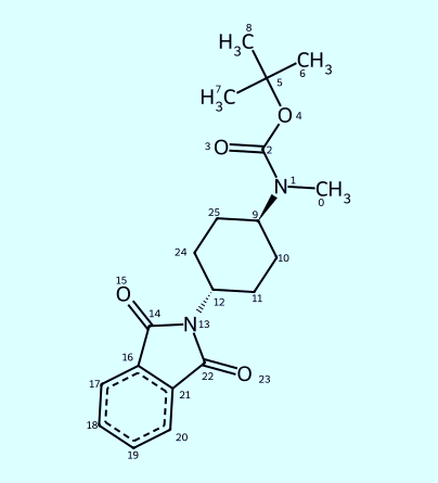 CN(C(=O)OC(C)(C)C)[C@H]1CC[C@H](N2C(=O)c3ccccc3C2=O)CC1